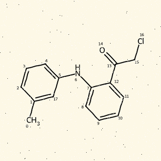 Cc1cccc(Nc2ccccc2C(=O)CCl)c1